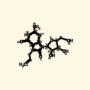 C=CCn1c(=O)n([C@@H]2OC(CO)[C@@H](O)[C@H]2O)c2nc(N)[nH]c(=O)c21